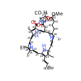 CCCC/C=C/c1c(C)c2cc3nc(c(CC(=O)OC)c4[nH]c(cc5nc(cc1[nH]2)C(C)=C5CC)c(C)c4C(=O)NCCC(=O)O)[C@@H](CCCC(=O)OC)[C@@H]3C